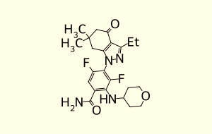 CCc1nn(-c2c(F)cc(C(N)=O)c(NC3CCOCC3)c2F)c2c1C(=O)CC(C)(C)C2